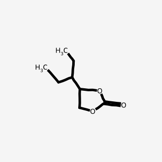 CCC(CC)C1COC(=O)O1